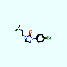 CN(C)CCN1CCN(c2ccc(Br)cc2)C1=O